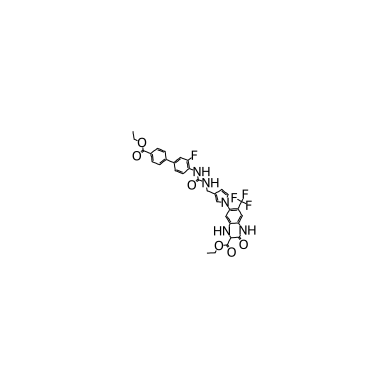 CCOC(=O)c1ccc(-c2ccc(NC(=O)NCc3ccn(-c4cc5c(cc4C(F)(F)F)NC(=O)C(C(=O)OCC)N5)c3)c(F)c2)cc1